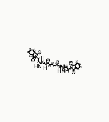 N=C(CCN1C(=O)c2ccccc2C1=O)NNC(=O)CCCC(=O)NNC(=N)CCN1C(=O)c2ccccc2C1=O